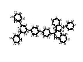 c1ccc(-n2c3ccccc3c3c(-c4ccc(-c5ccc(-c6cc(-c7ccccn7)nc(-c7ccccn7)c6)cc5)cc4)nc4ccccc4c32)cc1